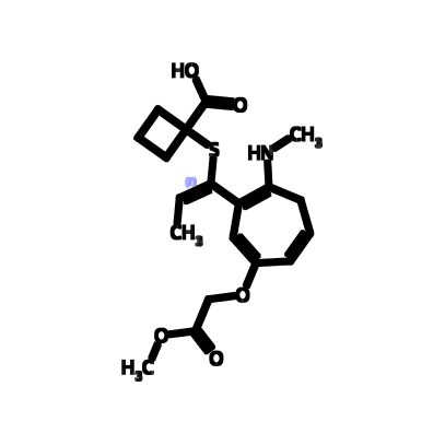 C/C=C(/SC1(C(=O)O)CCC1)C1=C(NC)CC=CC(OCC(=O)OC)=C1